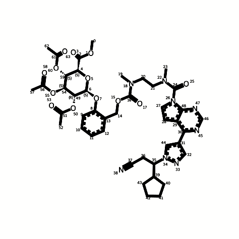 COC(=O)[C@H]1O[C@@H](Oc2ccccc2COC(=O)N(C)CCN(C)C(=O)n2ccc3c(-c4cnn(C(CC#N)C5CCCC5)c4)ncnc32)[C@H](OC(C)=O)[C@@H](OC(C)=O)[C@@H]1OC(C)=O